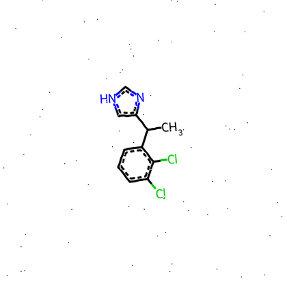 CC(c1c[nH]cn1)c1cccc(Cl)c1Cl